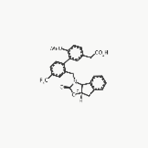 COc1ccc(CC(=O)O)cc1-c1ccc(C(F)(F)F)cc1CN1C(=O)O[C@H]2Cc3ccccc3C21